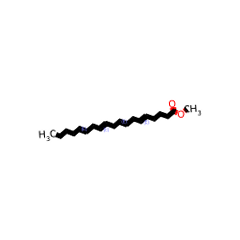 CCCC/C=C/C/C=C/C/C=C/C/C=C/CCCC(=O)OC